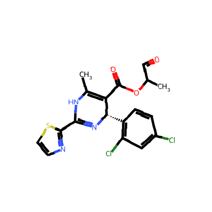 CC1=C(C(=O)OC(C)C=O)[C@H](c2ccc(Cl)cc2Cl)N=C(c2nccs2)N1